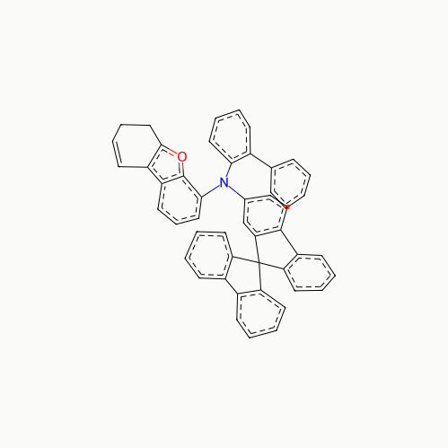 C1=Cc2c(oc3c(N(c4ccc5c(c4)C4(c6ccccc6-c6ccccc64)c4ccccc4-5)c4ccccc4-c4ccccc4)cccc23)CC1